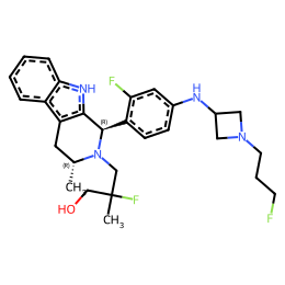 C[C@@H]1Cc2c([nH]c3ccccc23)[C@@H](c2ccc(NC3CN(CCCF)C3)cc2F)N1CC(C)(F)CO